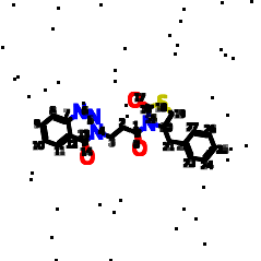 O=C(CCn1nnc2ccccc2c1=O)N1C(=O)SCC1Cc1ccccc1